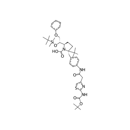 CC(C)(C)OC(=O)Nc1nc(CC(=O)Nc2ccc(C[C@@]3(C(C)(C)C)CC[C@H]([C@@H](COc4ccccc4)O[Si](C)(C)C(C)(C)C)N3C(=O)O)cc2)cs1